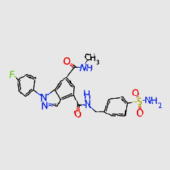 CNC(=O)c1cc(C(=O)NCc2ccc(S(N)(=O)=O)cc2)c2cnn(-c3ccc(F)cc3)c2c1